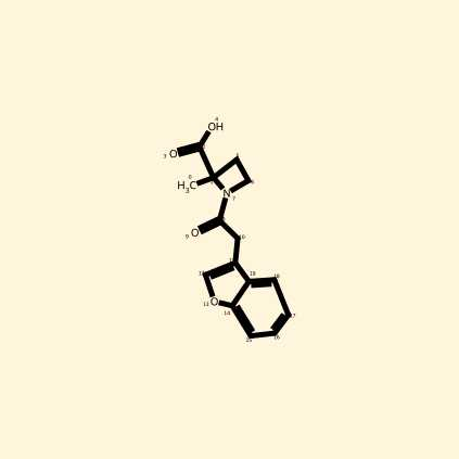 CC1(C(=O)O)CCN1C(=O)Cc1coc2ccccc12